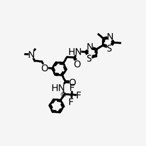 Cc1nc(C)c(-c2csc(NC(=O)Cc3cc(OCCN(C)C)cc(C(=O)N[C@H](c4ccccc4)C(F)(F)F)c3)n2)s1